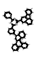 c1ccc(-c2nc(-c3cccc(-c4cc5c6ccccc6c6ccccc6c5c5ccccc45)c3)nc(-c3cc4c5c(cccc5c3)-c3ccccc3-4)n2)cc1